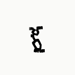 CC(C)C1CC(OC2CCC(O)C(C(C)C)C2)CCC1O